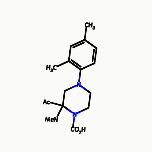 CNC1(C(C)=O)CN(c2ccc(C)cc2C)CCN1C(=O)O